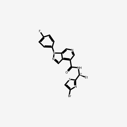 CC[C@H](NC(=O)c1cncc2c1cnn2-c1ccc(F)cc1)c1nc(Br)cs1